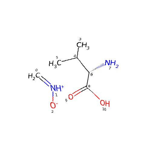 C=[NH+][O-].CC(C)[C@H](N)C(=O)O